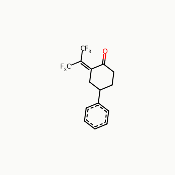 O=C1CCC(c2ccccc2)CC1=C(C(F)(F)F)C(F)(F)F